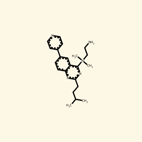 CC(C)CCc1nc([N+](C)(C)CCN)c2cc(-c3ccncc3)ccc2n1